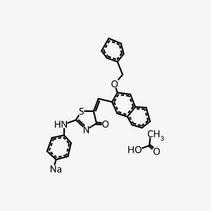 CC(=O)O.O=C1N=C(Nc2cc[c]([Na])cc2)S/C1=C/c1cc2ccccc2cc1OCc1ccccc1